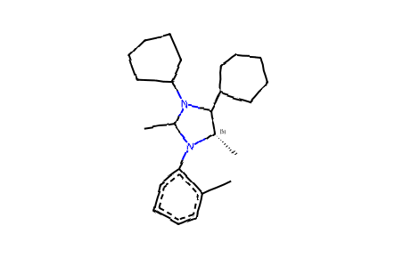 Cc1ccccc1N1C(C)N(C2CCCCC2)C(C2CCCCC2)[C@@H]1C